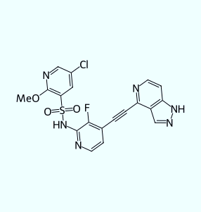 COc1ncc(Cl)cc1S(=O)(=O)Nc1nccc(C#Cc2nccc3[nH]ncc23)c1F